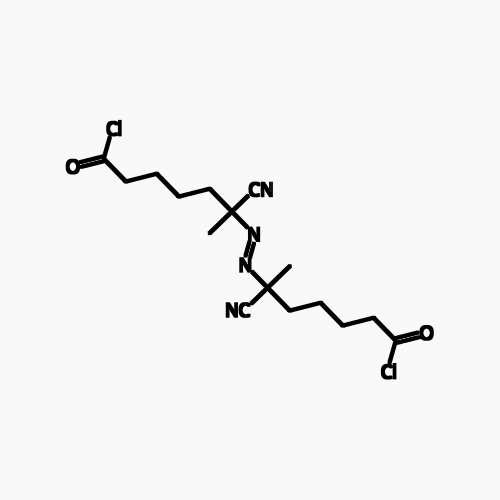 CC(C#N)(CCCCC(=O)Cl)N=NC(C)(C#N)CCCCC(=O)Cl